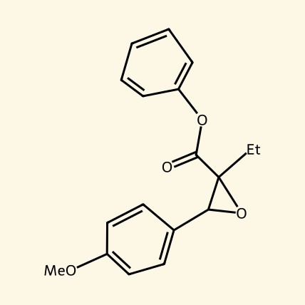 CCC1(C(=O)Oc2ccccc2)OC1c1ccc(OC)cc1